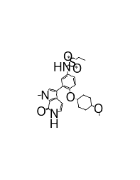 CCS(=O)(=O)Nc1ccc(O[C@H]2CC[C@H](OC)CC2)c(-c2cn(C)c3c(=O)[nH]ccc23)c1